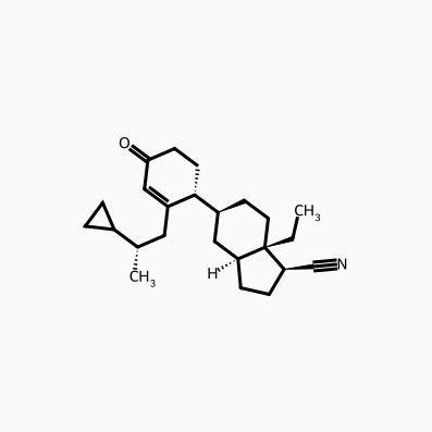 CC[C@]12CC[C@H]([C@H]3CCC(=O)C=C3C[C@H](C)C3CC3)C[C@@H]1CC[C@@H]2C#N